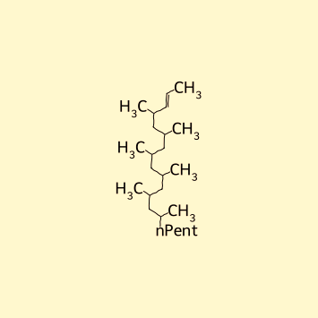 CC=CC(C)CC(C)CC(C)CC(C)CC(C)CC(C)CCCCC